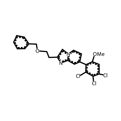 COc1cc(Cl)c(Cl)c(Cl)c1-c1ccn2cc(CCOCc3ccccc3)nc2c1